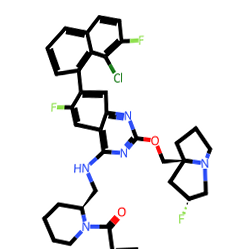 C=CC(=O)N1CCCC[C@H]1CNc1nc(OC[C@@]23CCCN2C[C@H](F)C3)nc2cc(-c3cccc4ccc(F)c(Cl)c34)c(F)cc12